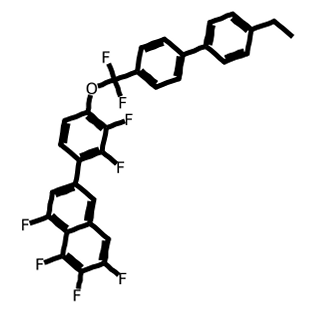 CCc1ccc(-c2ccc(C(F)(F)Oc3ccc(-c4cc(F)c5c(F)c(F)c(F)cc5c4)c(F)c3F)cc2)cc1